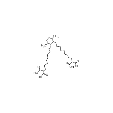 CC1CCC(C)C(CCCCCCCCCC(C(=O)O)C(=O)O)C1CCCCCCCCCC(C(=O)O)C(=O)O